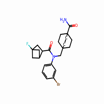 NC(=O)C12CCC(CN(C(=O)C3CC4(F)CC3C4)c3cccc(Br)c3)(CC1)CC2